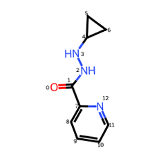 O=C(NNC1CC1)c1ccccn1